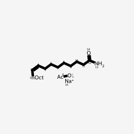 CC(=O)[O-].CCCCCCCC/C=C\CCCCCCCC(N)=O.[Na+]